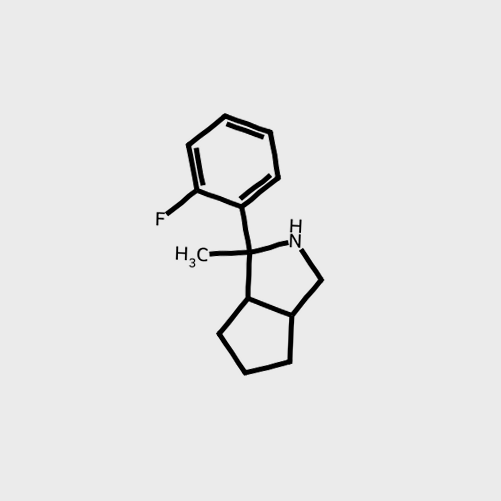 CC1(c2ccccc2F)NCC2CCCC21